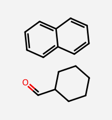 O=CC1CCCCC1.c1ccc2ccccc2c1